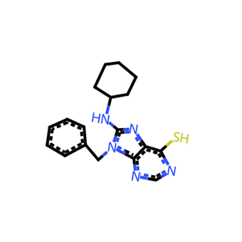 Sc1ncnc2c1nc(NC1CCCCC1)n2Cc1ccccc1